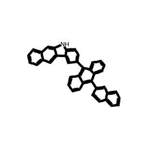 c1ccc2cc(-c3c4ccccc4c(-c4ccc5[nH]c6cc7ccccc7cc6c5c4)c4ccccc34)ccc2c1